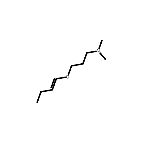 CCC=COCCCN(C)C